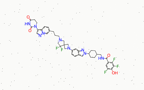 O=C1CCN(c2cnn3cc(CCCN4CC(F)(F)C5(C4)CN(c4ccc6cn(C7CCC(CNC(=O)c8cc(F)c(O)c(F)c8F)CC7)nc6c4)C5)ccc23)C(=O)N1